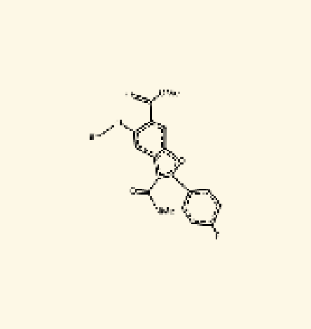 CNC(=O)c1c(-c2ccc(F)cc2)oc2cc(C(=O)OC)c(OC(C)C)cc12